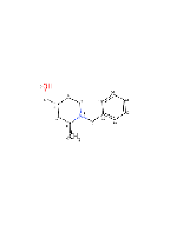 C[C@H]1C[C@H](CO)CCN1Cc1ccccc1